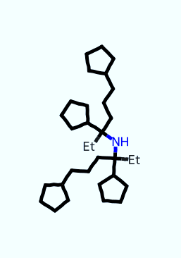 CCC(CCCC1CCCC1)(NC(CC)(CCCC1CCCC1)C1CCCC1)C1CCCC1